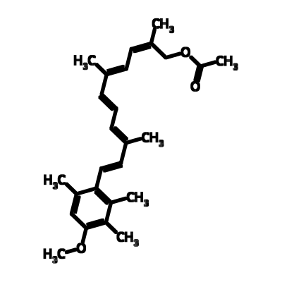 COc1cc(C)c(C=CC(C)=CC=CC(C)=CC=C(C)COC(C)=O)c(C)c1C